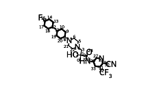 CC(O)(CN1CCN(c2ccc(-c3ccc(F)cc3)cc2)CC1)C(=O)Nc1cnc(C#N)c(C(F)(F)F)c1